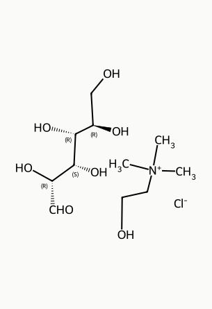 C[N+](C)(C)CCO.O=C[C@H](O)[C@@H](O)[C@H](O)[C@H](O)CO.[Cl-]